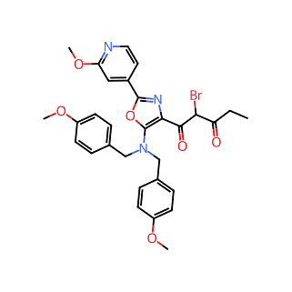 CCC(=O)C(Br)C(=O)c1nc(-c2ccnc(OC)c2)oc1N(Cc1ccc(OC)cc1)Cc1ccc(OC)cc1